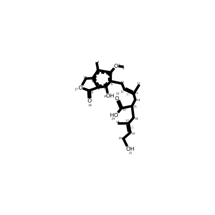 COc1c(C)c2c(c(O)c1C/C=C(\C)CC(C/C(C)=C/CO)C(=O)O)C(=O)OC2